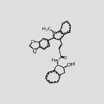 Cn1c(-c2ccc3c(c2)OCO3)c(C=CC(=O)N[C@@H]2c3ccccc3C[C@@H]2O)c2ccccc21